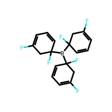 FC1=CC=CC(F)(B(C2(F)C=CC=C(F)C2)C2(F)C=CC=C(F)C2)C1